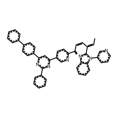 C=C(/C=C\C(=C/C)c1nc2ccccc2n1-c1cccnc1)c1ccc(-c2cc(-c3ccc(-c4ccccc4)cc3)nc(-c3ccccc3)n2)cn1